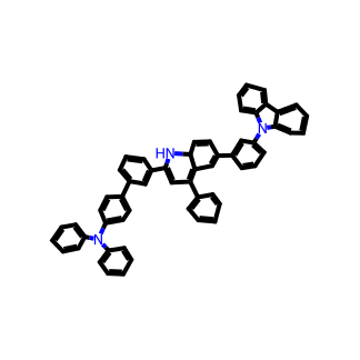 C1=CC2NC(c3cccc(-c4ccc(N(c5ccccc5)c5ccccc5)cc4)c3)=CC(c3ccccc3)=C2C=C1c1cccc(-n2c3ccccc3c3ccccc32)c1